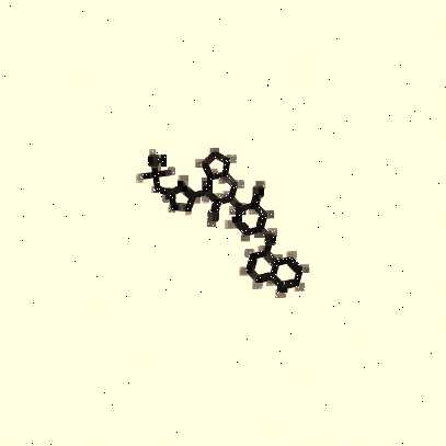 CC(C)(O)Cn1ccc(NC(=O)C(CC2CCCC2)n2ncc(Oc3cccc4ncccc34)cc2=O)n1